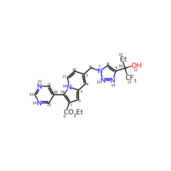 CCOC(=O)c1cc2cc(Cn3cc(C(O)(CC)C(F)(F)F)nn3)ccn2c1-c1cncnc1